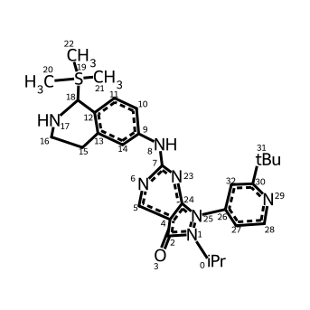 CC(C)n1c(=O)c2cnc(Nc3ccc4c(c3)CCNC4S(C)(C)C)nc2n1-c1ccnc(C(C)(C)C)c1